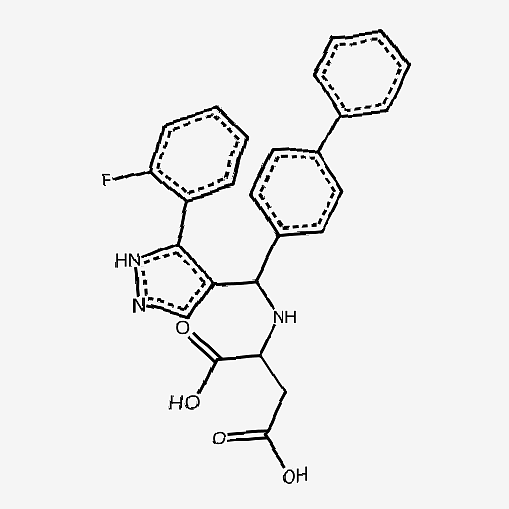 O=C(O)CC(NC(c1ccc(-c2ccccc2)cc1)c1cn[nH]c1-c1ccccc1F)C(=O)O